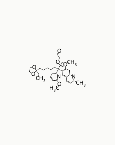 CCC1(CCCCCC(C(=O)OCC=O)(c2cccc(OC)n2)c2cc3ccc(C)nc3cc2OC)OCCO1